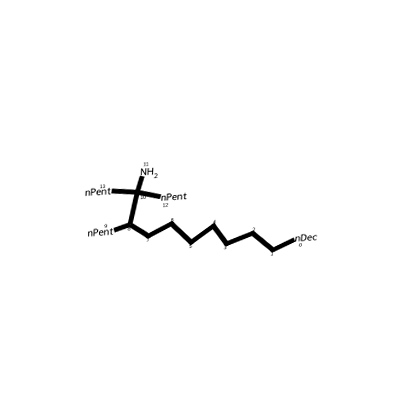 CCCCCCCCCCCCCCCCCC(CCCCC)C(N)(CCCCC)CCCCC